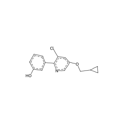 Oc1cccc(-c2ncc(OCC3CC3)cc2Cl)c1